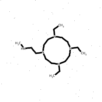 CCN1CCN(CC)CCN(CCNC)CCN(CC)CC1